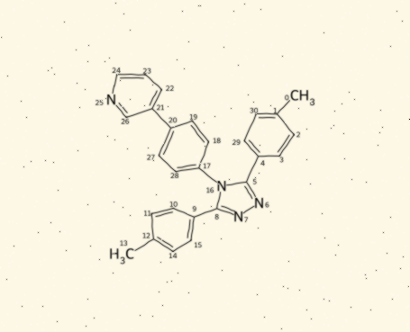 Cc1ccc(-c2nnc(-c3ccc(C)cc3)n2-c2ccc(-c3cccnc3)cc2)cc1